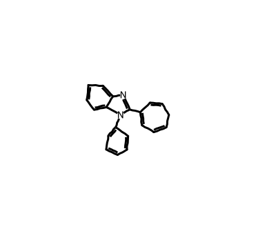 C1=CCC=CC(c2nc3ccccc3n2-c2ccccc2)=C1